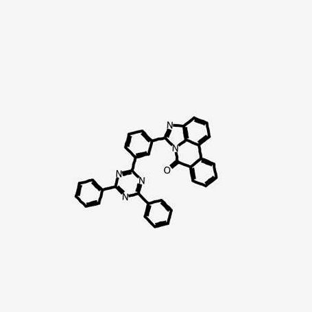 O=c1c2ccccc2c2cccc3nc(-c4cccc(-c5nc(-c6ccccc6)nc(-c6ccccc6)n5)c4)n1c32